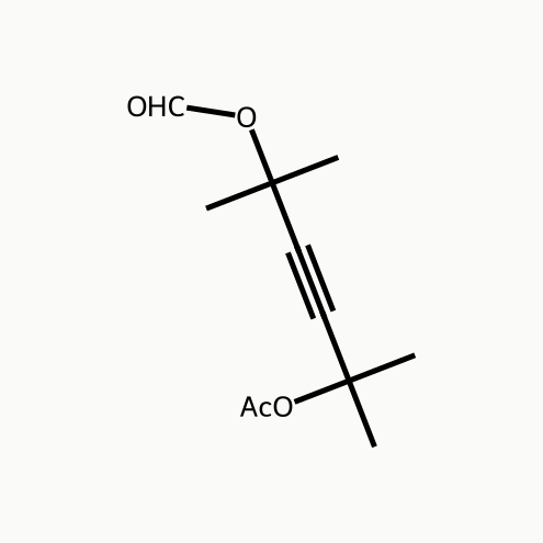 CC(=O)OC(C)(C)C#CC(C)(C)OC=O